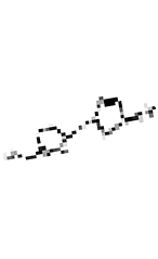 CC(C)n1ccc(-c2ccc(Cl)cc2)n1